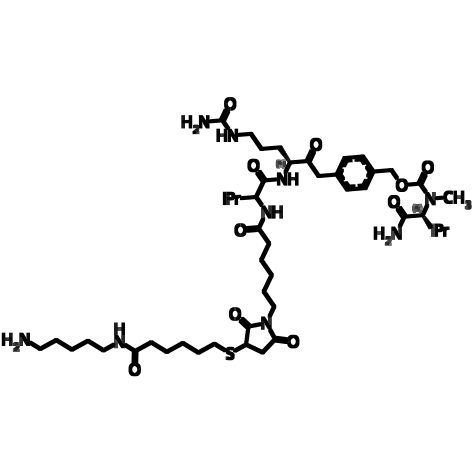 CC(C)C(NC(=O)CCCCCN1C(=O)CC(SCCCCCC(=O)NCCCCCN)C1=O)C(=O)N[C@@H](CCCNC(N)=O)C(=O)Cc1ccc(COC(=O)N(C)[C@H](C(N)=O)C(C)C)cc1